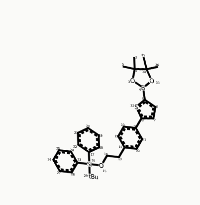 CC1(C)OB(c2ccc(-c3ccc(CCO[Si](c4ccccc4)(c4ccccc4)C(C)(C)C)cc3)s2)OC1(C)C